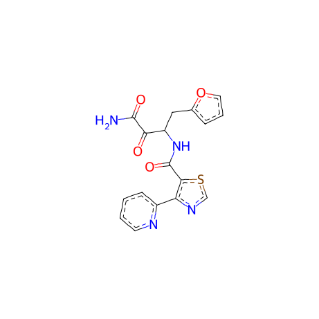 NC(=O)C(=O)C(Cc1ccco1)NC(=O)c1scnc1-c1ccccn1